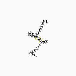 CCCCCCCCCCCCCc1c(-c2ccccc2)sc2c1sc1c3sc(-c4ccccc4)c(CCCCCCCCCCCCC)c3sc21